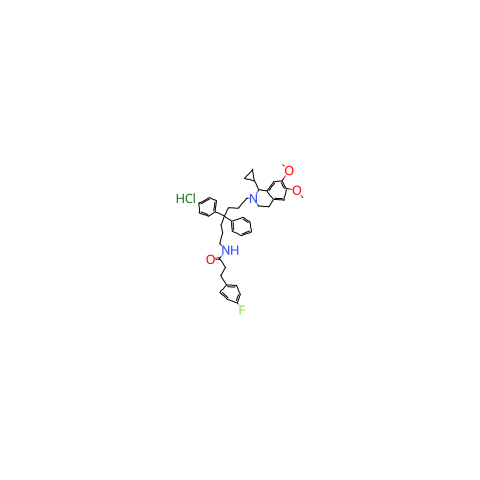 COc1cc2c(cc1OC)C(C1CC1)N(CCCC(CCCNC(=O)CCc1ccc(F)cc1)(c1ccccc1)c1ccccc1)CC2.Cl